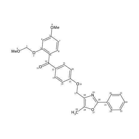 COCOc1cc(OC)ccc1C(=O)c1ccc(OCc2nc(-c3ccccc3)oc2C)cc1